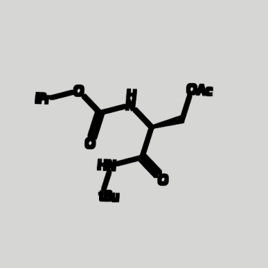 CC(=O)OC[C@H](NC(=O)OC(C)C)C(=O)NC(C)(C)C